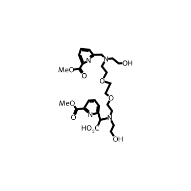 COC(=O)c1cccc(CN(CCO)CCOCCOCCN(CCO)C(C(=O)O)c2cccc(C(=O)OC)n2)n1